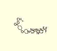 CCOC(=O)[C@H]1CC[C@H](OC2CCN(c3ccc(-c4nc5ccc(C(F)(F)F)nc5[nH]4)cn3)CC2)CC1